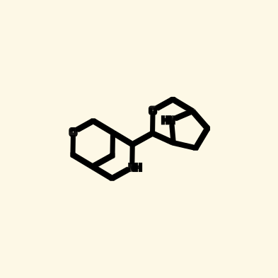 C1NC(C2OCC3CCC2N3)C2COCC1C2